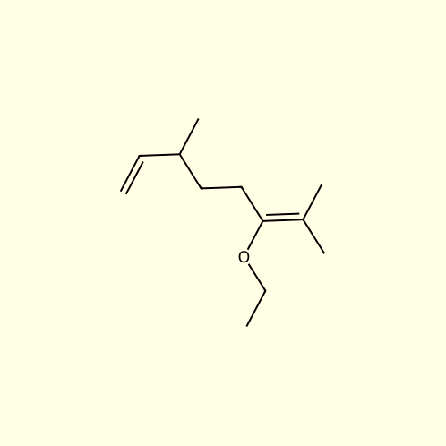 C=CC(C)CCC(OCC)=C(C)C